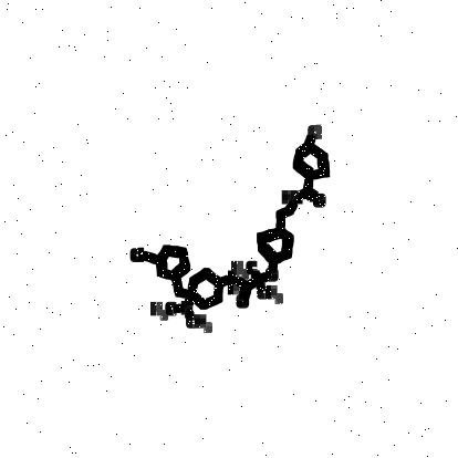 CN(C)C1(Cc2cccc(Cl)c2)CCC(NC(=O)C(C)(C)Oc2ccc(CCNC(=O)c3ccc(Cl)cc3)cc2)CC1